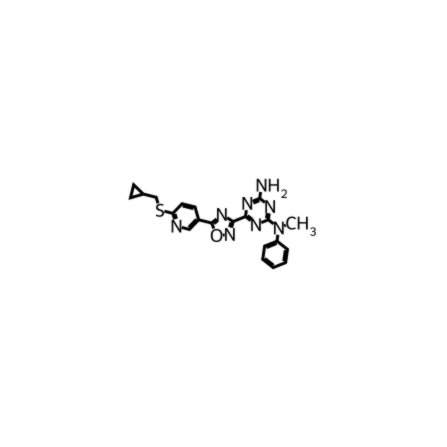 CN(c1ccccc1)c1nc(N)nc(-c2noc(-c3ccc(SCC4CC4)nc3)n2)n1